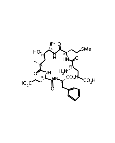 CSCC[C@H](NC(=O)[C@@H](N)CCC(=O)O)C(=O)N[C@@H](C(C)C)[C@@H](O)C[C@@H](C)C(=O)N[C@@H](CCC(=O)O)C(=O)N[C@@H](Cc1ccccc1)C(=O)O